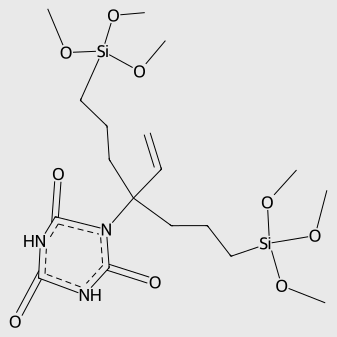 C=CC(CCC[Si](OC)(OC)OC)(CCC[Si](OC)(OC)OC)n1c(=O)[nH]c(=O)[nH]c1=O